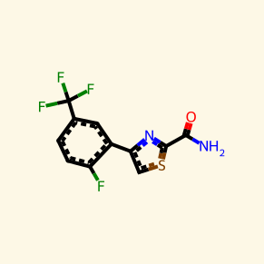 NC(=O)c1nc(-c2cc(C(F)(F)F)ccc2F)cs1